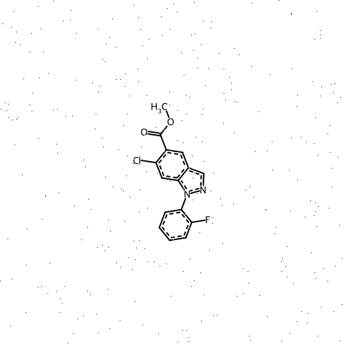 COC(=O)c1cc2cnn(-c3ccccc3F)c2cc1Cl